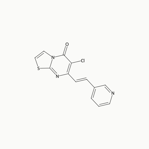 O=c1c(Cl)c(/C=C/c2cccnc2)nc2sccn12